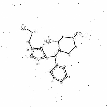 C[C@@H]1CN(C(=O)O)CCN1C(c1ccccc1)c1nnn(CCC#N)n1